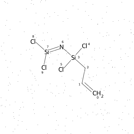 C=CC[Si](Cl)(Cl)N=[Si](Cl)Cl